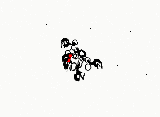 O=C(OCC1(COC(=O)c2cccnc2)CCCC(COC(=O)c2cccnc2)(COC(=O)c2cccnc2)C1OC(=O)c1cccnc1)c1cccnc1